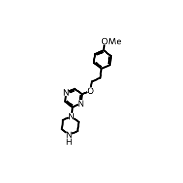 COc1ccc(CCOc2cncc(N3CCNCC3)n2)cc1